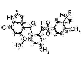 COc1c[n+]([O-])c2[nH]ccc2c1C(=O)c1ncc(C)cc1NS(=O)(=O)c1ccc(C)c(C(F)(F)F)c1